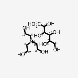 O=C(O)C(O)C(O)C(O)C(O)CO.OCCN(CCO)CCO